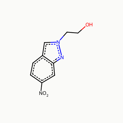 O=[N+]([O-])c1ccc2cn(CCO)nc2c1